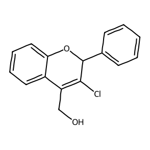 OCC1=C(Cl)C(c2ccccc2)Oc2ccccc21